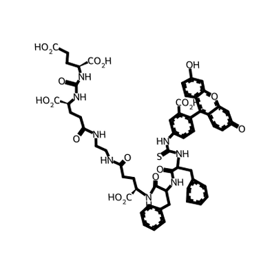 O=C(O)CC[C@H](NC(=O)N[C@@H](CCC(=O)NCCNC(=O)CC[C@@H](NC(=O)C(Cc1ccccc1)NC(=O)C(Cc1ccccc1)NC(=S)Nc1ccc(-c2c3ccc(=O)cc-3oc3cc(O)ccc23)c(C(=O)O)c1)C(=O)O)C(=O)O)C(=O)O